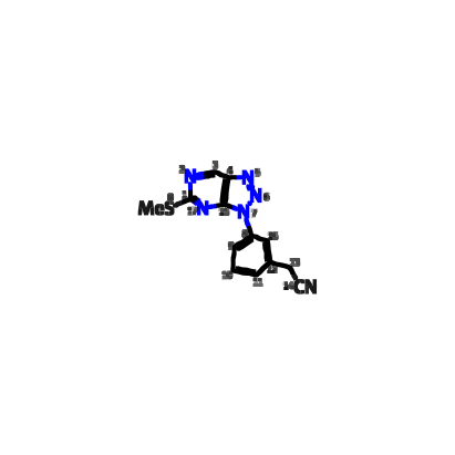 CSc1ncc2nnn(-c3cccc(CC#N)c3)c2n1